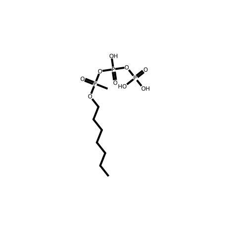 CCCCCCCOP(C)(=O)OP(=O)(O)OP(=O)(O)O